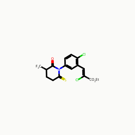 CCOC(=O)C(Cl)=Cc1cc(N2C(=O)C(C(F)(F)F)CCC2=S)ccc1Cl